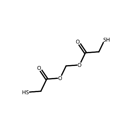 O=C(CS)OCOC(=O)CS